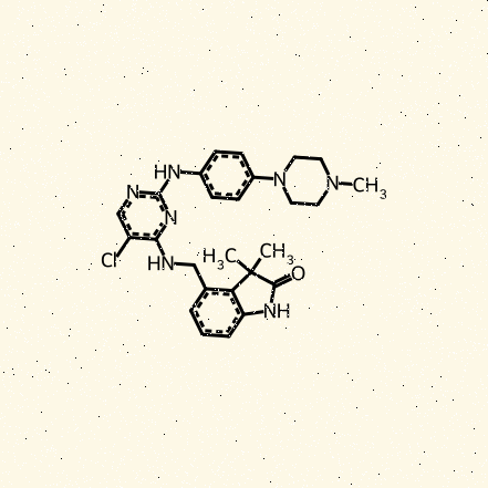 CN1CCN(c2ccc(Nc3ncc(Cl)c(NCc4cccc5c4C(C)(C)C(=O)N5)n3)cc2)CC1